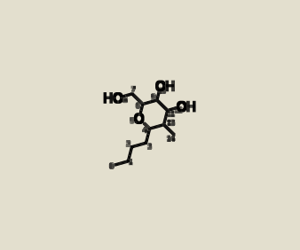 CCCCC1OC(CO)C(O)C(O)C1C